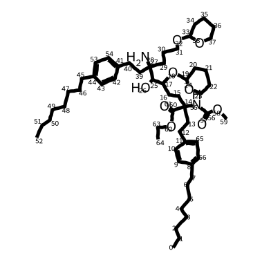 CCCCCCCCc1ccc(CCC(CCC(OC2CCCCO2)C(O)C(N)(CCCOC2CCCCO2)CCc2ccc(CCCCCCCC)cc2)(NC(=O)OC)C(=O)OCC)cc1